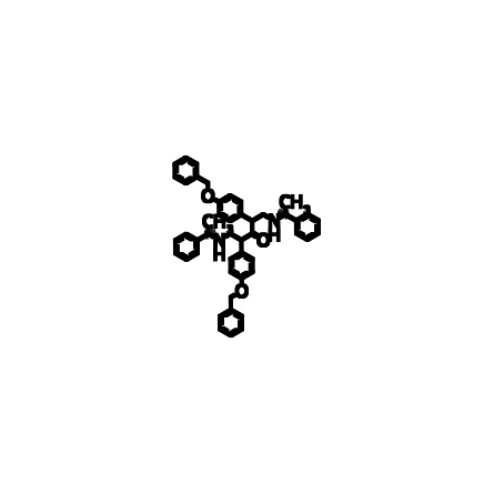 C[C@H](NCC(C(=O)C(CN[C@@H](C)c1ccccc1)c1ccc(OCc2ccccc2)cc1)c1ccc(OCc2ccccc2)cc1)c1ccccc1